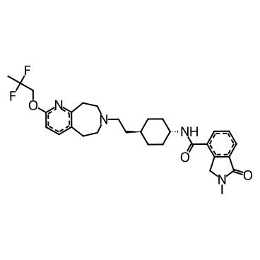 CN1Cc2c(C(=O)N[C@H]3CC[C@H](CCN4CCc5ccc(OCC(C)(F)F)nc5CC4)CC3)cccc2C1=O